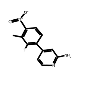 Cc1c([N+](=O)[O-])ccc(-c2ccnc(N)c2)c1F